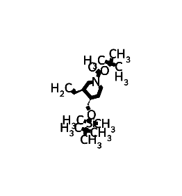 C=C[C@H]1CN(C(=O)OC(C)(C)C)CC[C@@H]1CO[Si](C)(C)C(C)(C)C